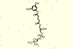 C[N+](C)(C)CCOP(=O)([O-])OC[C@H](O)COC(=O)CCCC(=O)Oc1cc(O)cc(O)c1